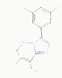 CCOC(=O)c1cnn2c(-c3cc(Cl)cc(Cl)c3)cnc2c1O